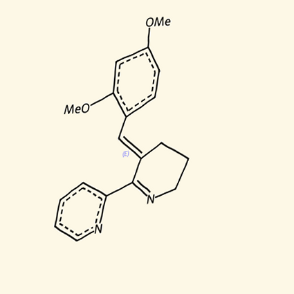 COc1ccc(/C=C2\CCCN=C2c2ccccn2)c(OC)c1